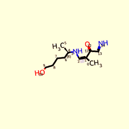 C/C(=C/N[C@H](C)CCCCO)C(=O)C=N